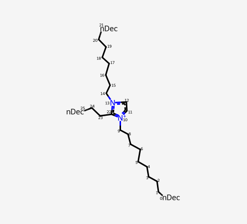 CCCCCCCCCCCCCCCCCCC[n+]1ccn(CCCCCCCCCCCCCCCCC)c1CCCCCCCCCCCC